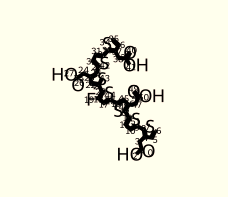 O=C(O)Cc1ccsc1-c1ccc(-c2sc(-c3cc(F)c(-c4cc(CC(=O)O)c(-c5ccc(-c6sccc6CC(=O)O)s5)s4)s3)cc2CC(=O)O)s1